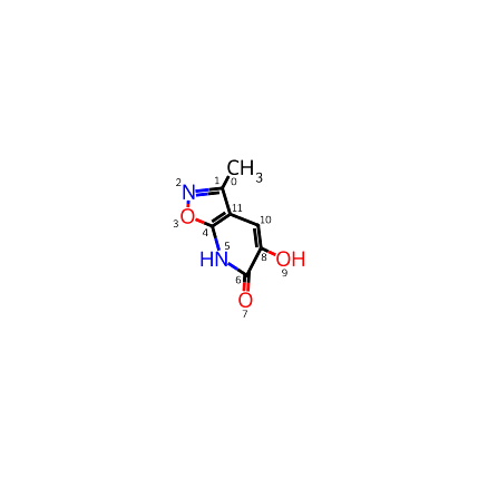 Cc1noc2[nH]c(=O)c(O)cc12